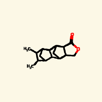 CC1C(C)C2CC1C1C3CC(C4C(=O)OCC34)C21